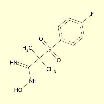 CC(C)(C(=N)NO)S(=O)(=O)c1ccc(F)cc1